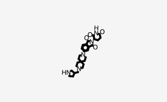 O=C1CCC(N2C(=O)c3ccc(N4CCC5(CCN(CC6CCNC6)CC5)CC4)cc3C2=O)C(=O)N1